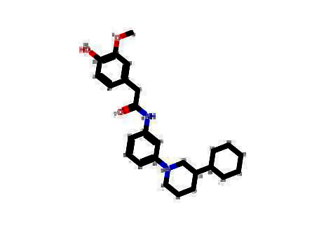 COc1cc(CC(=O)Nc2cccc(N3CCCC(C4CCCCC4)C3)c2)ccc1O